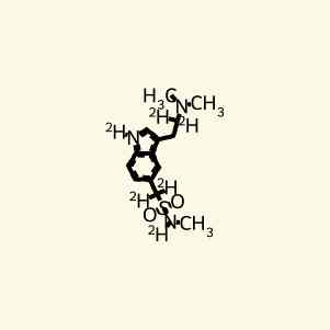 [2H]N(C)S(=O)(=O)C([2H])([2H])c1ccc2c(c1)c(CC([2H])([2H])N(C)C)cn2[2H]